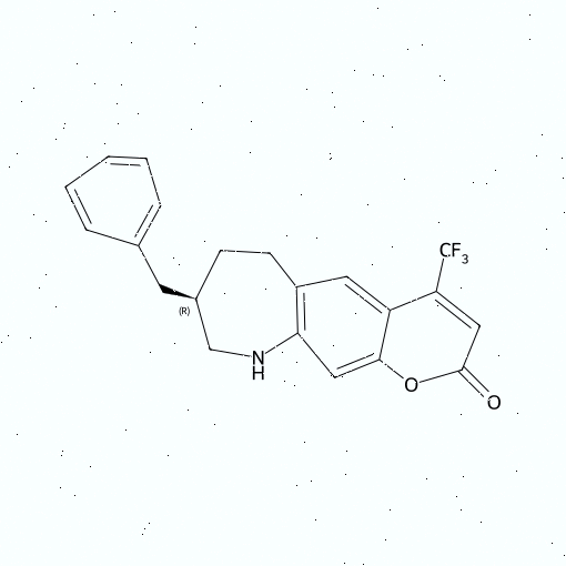 O=c1cc(C(F)(F)F)c2cc3c(cc2o1)NC[C@@H](Cc1ccccc1)CC3